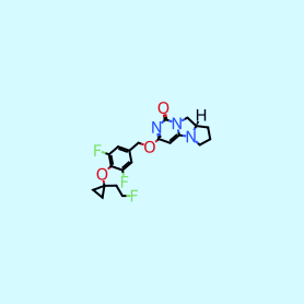 O=c1nc(OCc2cc(F)c(OC3(CCF)CC3)c(F)c2)cc2n1C[C@@H]1CCCN21